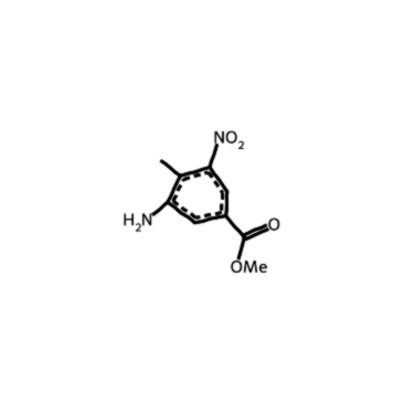 COC(=O)c1cc(N)c(C)c([N+](=O)[O-])c1